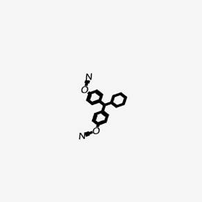 N#COc1ccc(C(c2ccc(OC#N)cc2)C2CCCCC2)cc1